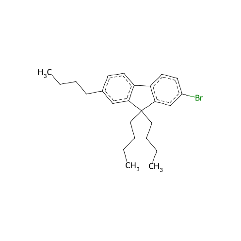 CCCCc1ccc2c(c1)C(CCCC)(CCCC)c1cc(Br)ccc1-2